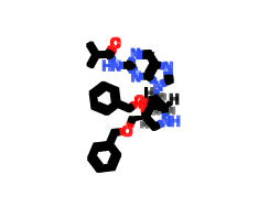 CC(C)C(=O)Nc1n[c]c2ncn([C@@H]3O[C@@]4(COCc5ccccc5)CN[C@@H]3[C@@H]4OCc3ccccc3)c2n1